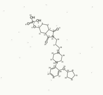 O=C1C2CCC(OP(=O)(O)O)CC2C(=O)N1CCCN1CCN(c2ccccc2OC2CCCC2)CC1